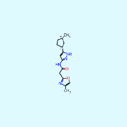 Cc1coc(CC(=O)Nc2cc([C@H]3CC[C@@H](C)C3)[nH]n2)n1